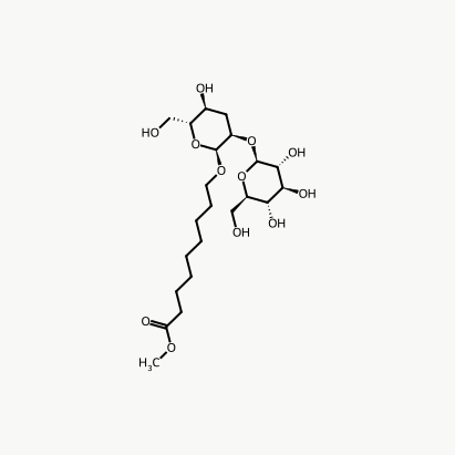 COC(=O)CCCCCCCCO[C@H]1O[C@H](CO)[C@@H](O)C[C@H]1O[C@@H]1O[C@H](CO)[C@@H](O)[C@H](O)[C@H]1O